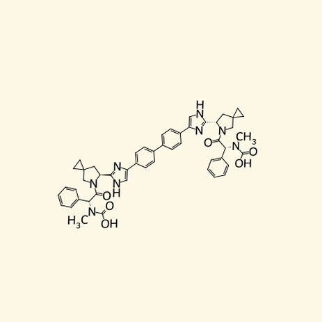 CN(C(=O)O)[C@@H](C(=O)N1CC2(CC2)C[C@H]1c1nc(-c2ccc(-c3ccc(-c4c[nH]c([C@@H]5CC6(CC6)CN5C(=O)[C@@H](c5ccccc5)N(C)C(=O)O)n4)cc3)cc2)c[nH]1)c1ccccc1